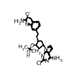 CC(C)(O)OC1CC(n2ccc3c(N)nc(Cl)nc32)CC1CCc1ccc2cc(Cl)c(N)nc2c1